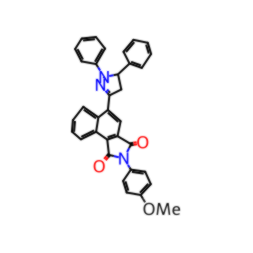 COc1ccc(N2C(=O)c3cc(C4=NN(c5ccccc5)C(c5ccccc5)C4)c4ccccc4c3C2=O)cc1